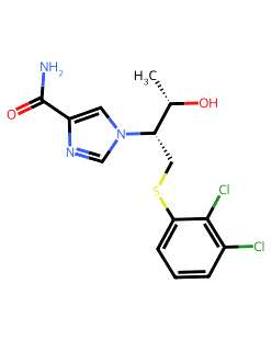 C[C@H](O)[C@H](CSc1cccc(Cl)c1Cl)n1cnc(C(N)=O)c1